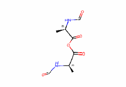 C[C@@H](NC=O)C(=O)OC(=O)[C@@H](C)NC=O